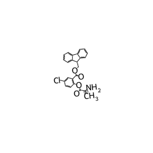 C[C@H](N)C(=O)Oc1ccc(Cl)cc1C(=O)OCC1c2ccccc2-c2ccccc21